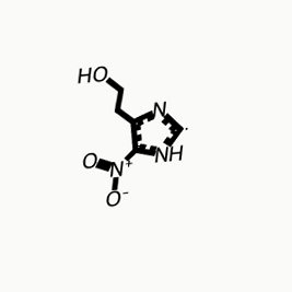 O=[N+]([O-])c1[nH][c]nc1CCO